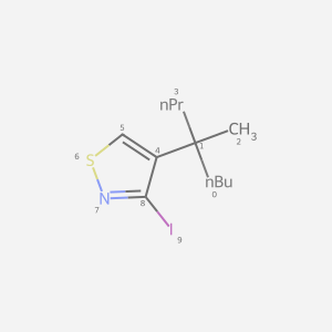 CCCCC(C)(CCC)c1csnc1I